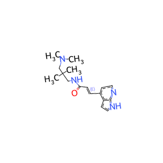 CN(C)CC(C)(C)CNC(=O)/C=C/c1ccnc2[nH]ccc12